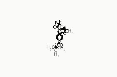 COCC1(CN(C(=O)C(F)(F)F)C2CC2)CCN(C(=O)OC(C)(C)C)CC1